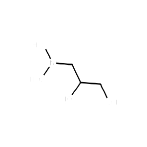 C[N+](C)CC(O)CO